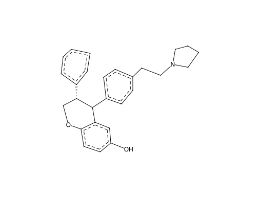 Oc1ccc2c(c1)C(c1ccc(CCN3CCCC3)cc1)[C@@H](c1ccccc1)CO2